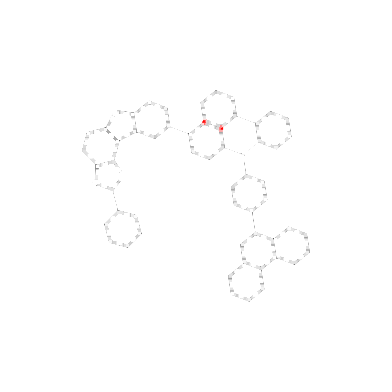 c1ccc(-c2nc3ccc4oc5ccc(-c6ccc(N(c7ccc(-c8cc9ccccc9c9ccccc89)cc7)c7ccccc7-c7ccccc7)cc6)cc5c4c3o2)cc1